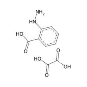 NNc1ccccc1C(=O)O.O=C(O)C(=O)O